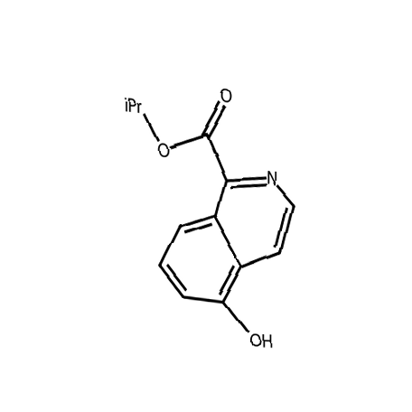 CC(C)OC(=O)c1nccc2c(O)cccc12